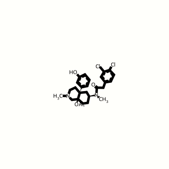 CC(=O)O[C@]12CC[C@H](N(C)C(=O)Cc3ccc(Cl)c(Cl)c3)C[C@]1(c1cccc(O)c1)CCN(C)C2